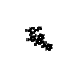 CC[C@H]1O[C@@H](n2c(=O)nc(NC(=O)c3ccccc3)c3ccccc32)[C@H](F)[C@@H]1OP(OCCC#N)N(C(C)C)C(C)C